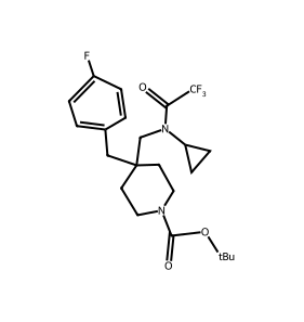 CC(C)(C)OC(=O)N1CCC(Cc2ccc(F)cc2)(CN(C(=O)C(F)(F)F)C2CC2)CC1